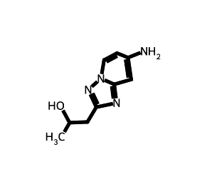 CC(O)Cc1nc2cc(N)ccn2n1